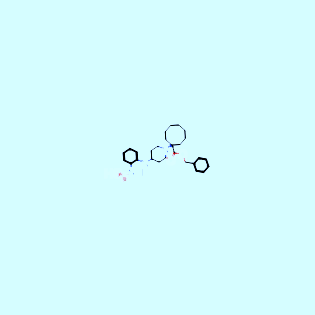 CB(O)Nc1ccccc1NC1CCN(C2(C(=O)OCc3ccccc3)CCCCCCC2)CC1